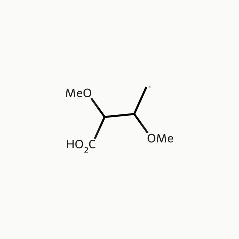 [CH2]C(OC)C(OC)C(=O)O